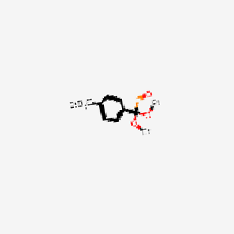 CCOC(=O)c1ccc(C(OCC)(OCC)P=O)cc1